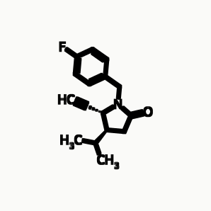 C#C[C@H]1[C@H](C(C)C)CC(=O)N1Cc1ccc(F)cc1